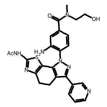 CC(=O)Nc1nc2c(s1)-c1c(c(-c3cccnc3)nn1-c1ccc(C(=O)N(C)CCO)cc1N)CC2